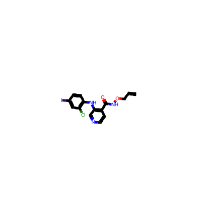 C=CCONC(=O)c1ccncc1Nc1ccc(I)cc1Cl